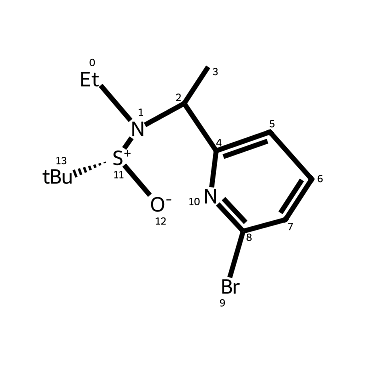 CCN(C(C)c1cccc(Br)n1)[S@+]([O-])C(C)(C)C